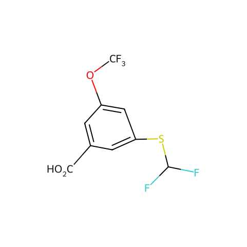 O=C(O)c1cc(OC(F)(F)F)cc(SC(F)F)c1